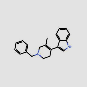 CC1=C(c2c[nH]c3ccccc23)CCN(Cc2ccccc2)C1